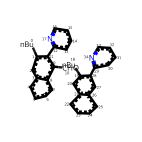 CCCCc1cc2ccccc2c(C=O)c1-c1ccccn1.CCCCc1cc2ccccc2cc1-c1ccccn1